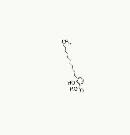 CCCCCCCCCCCCc1cccc(C(=O)O)c1O